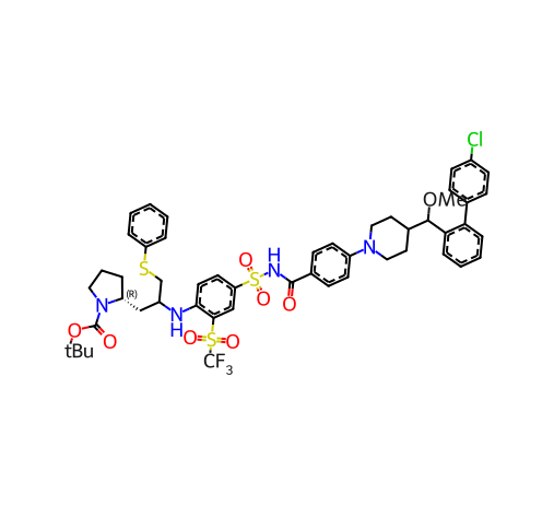 COC(c1ccccc1-c1ccc(Cl)cc1)C1CCN(c2ccc(C(=O)NS(=O)(=O)c3ccc(NC(CSc4ccccc4)C[C@H]4CCCN4C(=O)OC(C)(C)C)c(S(=O)(=O)C(F)(F)F)c3)cc2)CC1